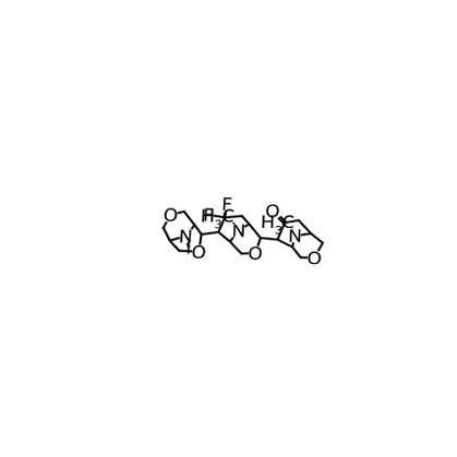 CN1C2COCC1C(C1OCC3C(C4OCC5COCC4N5I)C(F)(F)CC1N3C)C(=O)C2